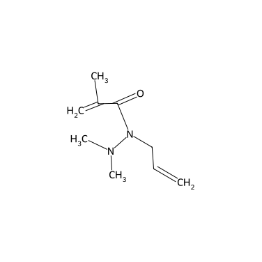 C=CCN(C(=O)C(=C)C)N(C)C